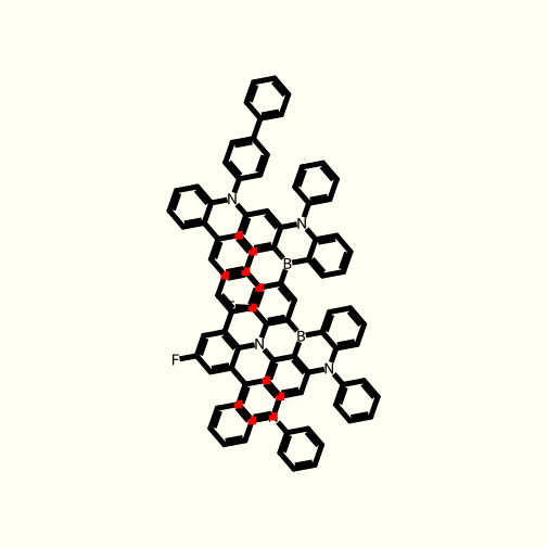 Fc1cc(-c2ccccc2)c(N2c3cc(N(c4ccccc4)c4ccccc4)cc4c3B(c3ccccc3N4c3ccccc3)c3cc4c(c(F)c32)Sc2cc(N(c3ccc(-c5ccccc5)cc3)c3ccccc3-c3ccccc3)cc3c2B4c2ccccc2N3c2ccccc2)c(-c2ccccc2)c1